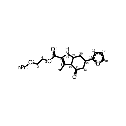 CCCOCCOC(=O)C1=C(C)C2C(=O)CC(c3ccco3)CC2N1